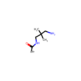 CCCC(=O)NCC(C)(C)CN